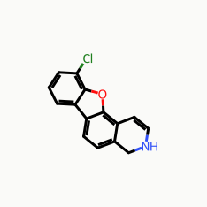 Clc1cccc2c1oc1c3c(ccc12)CNC=C3